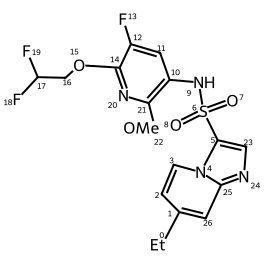 CCc1ccn2c(S(=O)(=O)Nc3cc(F)c(OCC(F)F)nc3OC)cnc2c1